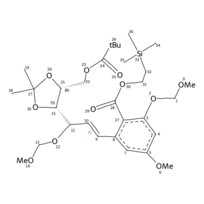 COCOc1cc(OC)cc(/C=C/C(OCOC)[C@@H]2OC(C)(C)O[C@@H]2COC(=O)C(C)(C)C)c1C(=O)OCC[Si](C)(C)C